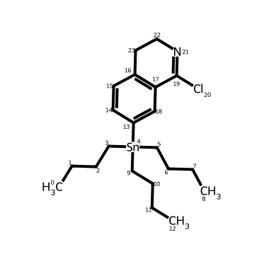 CCC[CH2][Sn]([CH2]CCC)([CH2]CCC)[c]1ccc2c(c1)C(Cl)=NCC2